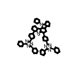 Cn1c2c(-c3ccc(-c4nc(-c5ccccc5)nc(-c5ccccc5)n4)cc3)cccc2c2c1c(-c1ccc(-c3nc(-c4ccccc4)nc(-c4ccccc4)n3)cc1)cc1c3ccccc3n(-c3ccccc3)c12